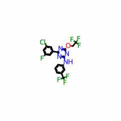 Fc1cc(Cl)cc(-c2nc(Nc3cccc(C(F)(F)F)c3)nc(OCC(F)(F)F)n2)c1